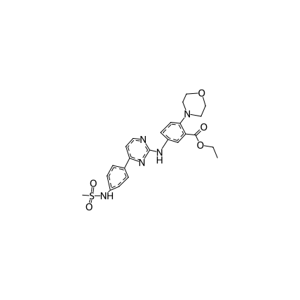 CCOC(=O)c1cc(Nc2nccc(-c3ccc(NS(C)(=O)=O)cc3)n2)ccc1N1CCOCC1